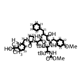 COC(=O)NC(C(=O)NN(Cc1ccc(OC)cc1)CC(O)C(Cc1ccccc1)NC(=O)C(N1CCN(Cc2cccc(C(C)(C)O)n2)C1=O)C(C)(C)C)C(C)(C)C